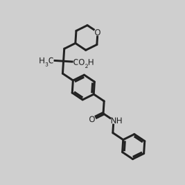 CC(Cc1ccc(CC(=O)NCc2ccccc2)cc1)(CC1CCOCC1)C(=O)O